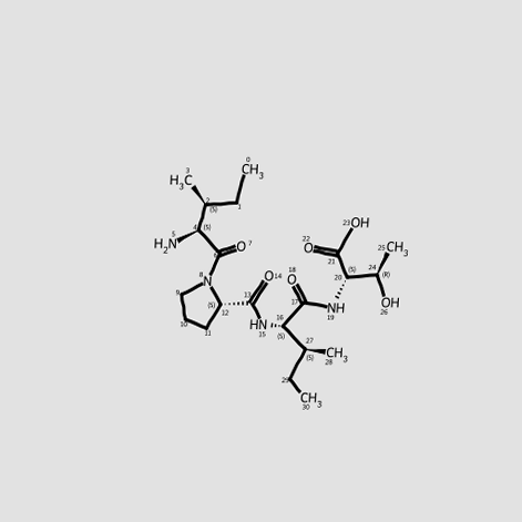 CC[C@H](C)[C@H](N)C(=O)N1CCC[C@H]1C(=O)N[C@H](C(=O)N[C@H](C(=O)O)[C@@H](C)O)[C@@H](C)CC